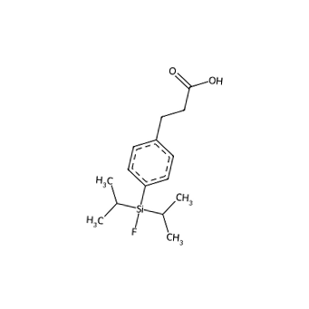 CC(C)[Si](F)(c1ccc(CCC(=O)O)cc1)C(C)C